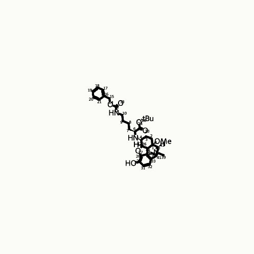 CO[C@@]12CC[C@@H](N[C@@H](CCCCNC(=O)OCc3ccccc3)C(=O)OC(C)(C)C)[C@@H]3Oc4c(O)ccc5c4[C@@]31CCN(C)[C@@H]2C5